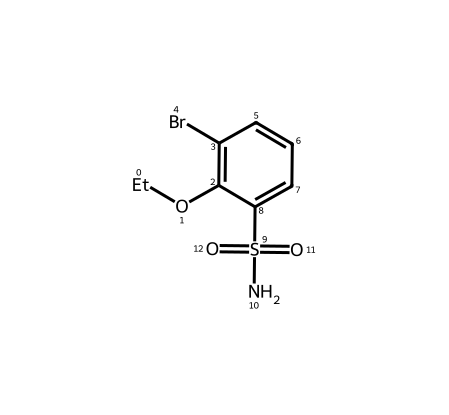 CCOc1c(Br)cccc1S(N)(=O)=O